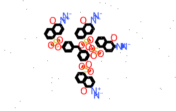 [N-]=[N+]=C1C=Cc2c(cccc2S(=O)(=O)Oc2ccc(Cc3ccc(OS(=O)(=O)c4cccc5c4C=CC(=[N+]=[N-])C5=O)c(OS(=O)(=O)c4cccc5c4C=CC(=[N+]=[N-])C5=O)c3OS(=O)(=O)c3cccc4c3C=CC(=[N+]=[N-])C4=O)cc2)C1=O